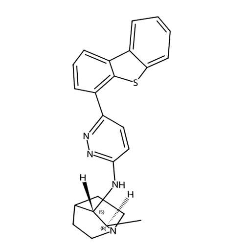 C[C@@H]1[C@@H](Nc2ccc(-c3cccc4c3sc3ccccc34)nn2)C2CCN1CC2